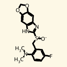 CN(C)c1ccc(F)cc1C[S+]([O-])c1nc2cc3c(cc2[nH]1)OCO3